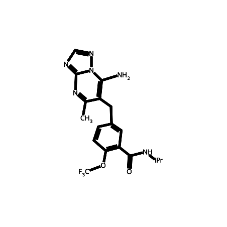 Cc1nc2ncnn2c(N)c1Cc1ccc(OC(F)(F)F)c(C(=O)NC(C)C)c1